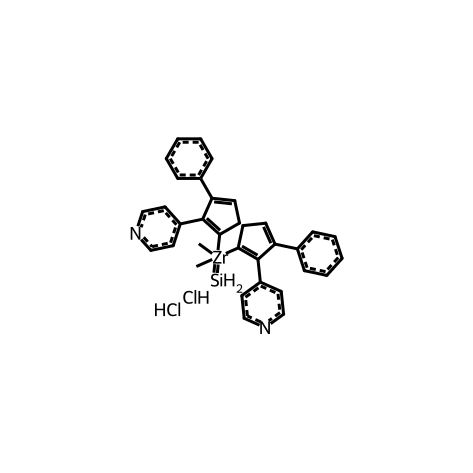 Cl.Cl.[CH3][Zr]([CH3])(=[SiH2])([C]1=C(c2ccncc2)C(c2ccccc2)=CC1)[C]1=C(c2ccncc2)C(c2ccccc2)=CC1